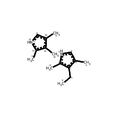 CCc1c(C)c[nH]c1C.Cc1c[nH]c(C)c1C